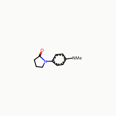 CNc1ccc(N2CCCC2=O)cc1